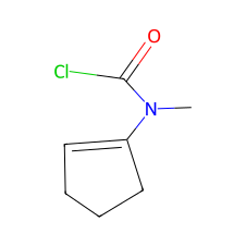 CN(C(=O)Cl)C1=CCCC1